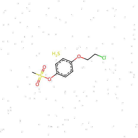 CS(=O)(=O)Oc1ccc(OCCCl)cc1.S